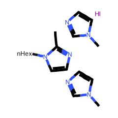 CCCCCCn1ccnc1C.Cn1ccnc1.Cn1ccnc1.I